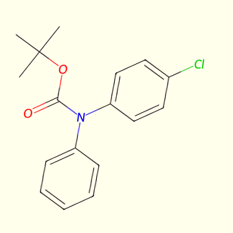 CC(C)(C)OC(=O)N(c1ccccc1)c1ccc(Cl)cc1